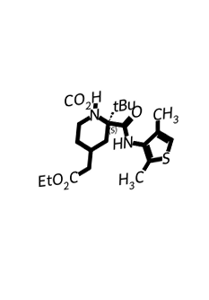 CCOC(=O)CC1CCN(C(=O)O)[C@](C(=O)Nc2c(C)csc2C)(C(C)(C)C)C1